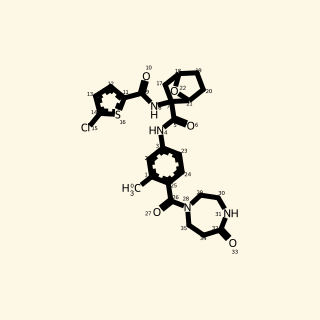 Cc1cc(NC(=O)C2(NC(=O)c3ccc(Cl)s3)CC3CCC2O3)ccc1C(=O)N1CCNC(=O)CC1